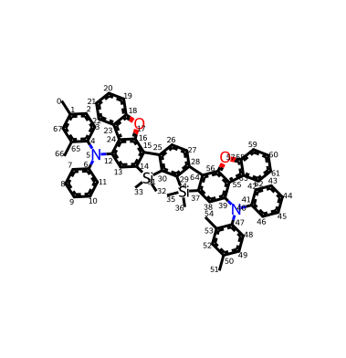 Cc1ccc(N(c2ccccc2)c2cc3c(c4oc5ccccc5c24)-c2ccc4c(c2[Si]3(C)C)[Si](C)(C)c2cc(N(c3ccccc3)c3ccc(C)cc3C)c3c(oc5ccccc53)c2-4)c(C)c1